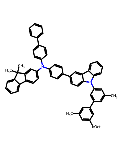 CCCCCCCCc1cc(C)cc(-c2cc(C)cc(-n3c4ccccc4c4cc(-c5ccc(N(c6ccc(-c7ccccc7)cc6)c6ccc7c(c6)C(C)(C)c6ccccc6-7)cc5)ccc43)c2)c1